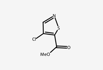 COC(=O)c1sncc1Cl